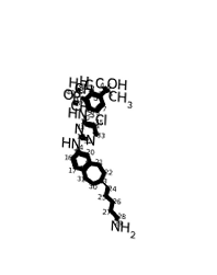 Cc1c(C(C)(C)O)ccc(Nc2nc(Nc3ccc4c(c3)CC[C@@H](CCCCCN)CC4)ncc2Cl)c1P(C)(C)=O